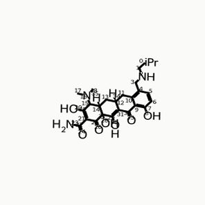 CC(C)CNCc1ccc(O)c2c1C[C@H]1C[C@H]3C(N(C)C)C(O)=C(C(N)=O)C(=O)[C@@]3(O)C(O)=C1C2=O